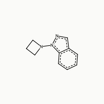 c1ccc2c(c1)cnn2N1CCC1